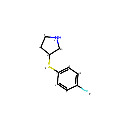 Fc1ccc(SC2CCNC2)cc1